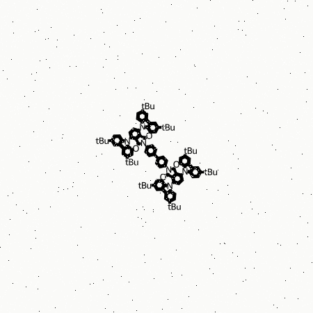 CC(C)(C)c1ccc2c(c1)c1cc(C(C)(C)C)ccc1n2-c1ccc(-n2c3ccc(C(C)(C)C)cc3c3cc(C(C)(C)C)ccc32)c2c1C(=O)N(c1ccc(-c3ccc(N4C(=O)c5c(-n6c7ccc(C(C)(C)C)cc7c7cc(C(C)(C)C)ccc76)ccc(-n6c7ccc(C(C)(C)C)cc7c7cc(C(C)(C)C)ccc76)c5C4=O)cc3)cc1)C2=O